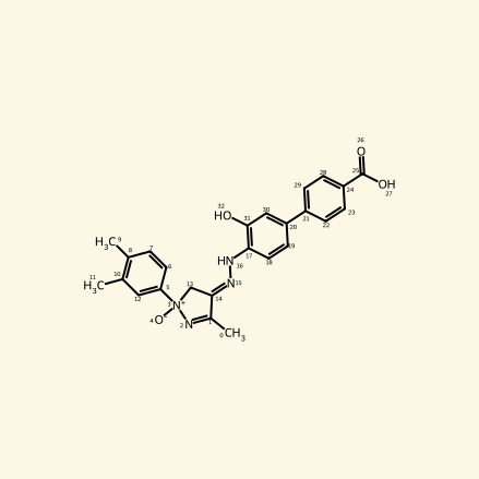 CC1=N[N+]([O-])(c2ccc(C)c(C)c2)CC1=NNc1ccc(-c2ccc(C(=O)O)cc2)cc1O